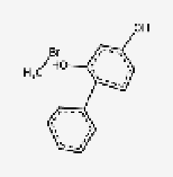 CBr.Oc1ccc(-c2ccccc2)c(O)c1